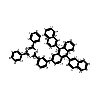 c1ccc(-c2nc(-c3ccccc3)nc(-c3cccc(-c4ccc5c(-c6ccc7ccccc7c6)c6ccccc6c(-c6ccc7ccccc7c6)c5c4)c3)n2)cc1